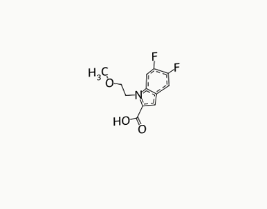 COCCn1c(C(=O)O)cc2cc(F)c(F)cc21